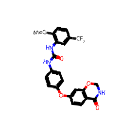 COc1ccc(C(F)(F)F)cc1NC(=O)Nc1ccc(Oc2ccc3c(c2)OCNC3=O)cc1